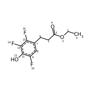 CCOC(=O)CCc1cc(F)c(O)c(F)c1F